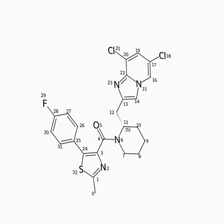 Cc1nc(C(=O)N2CCCC[C@H]2Cc2cn3cc(Cl)cc(Cl)c3n2)c(-c2ccc(F)cc2)s1